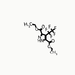 CCOC(=O)c1n[nH]c(C(=O)OCC)c1C(F)(F)C(F)(F)F